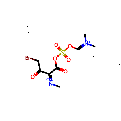 C/N=C(/C(=O)CBr)C(=O)OS(=O)(=O)OC=[N+](C)C